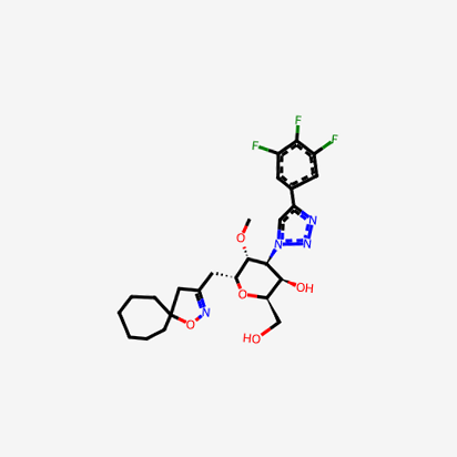 CO[C@@H]1[C@@H](n2cc(-c3cc(F)c(F)c(F)c3)nn2)[C@@H](O)[C@@H](CO)O[C@@H]1CC1=NOC2(CCCCCC2)C1